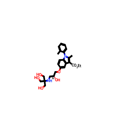 CCOC(=O)c1c(C)n(-c2ccccc2C)c2ccc(OC[C@H](O)CNC(CO)(CO)CO)cc12